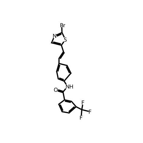 O=C(Nc1ccc(C=Cc2cnc(Br)s2)cc1)c1cccc(C(F)(F)F)c1